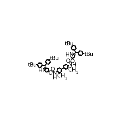 Cc1cc(-c2ccc(NC(=O)O[C@H]3CN[C@@H](C(c4ccc(C(C)(C)C)cc4)c4ccc(C(C)(C)C)cc4)C3)c(C)c2)ccc1NC(=O)O[C@H]1CN[C@@H](C(c2ccc(C(C)(C)C)cc2)c2ccc(C(C)(C)C)cc2)C1